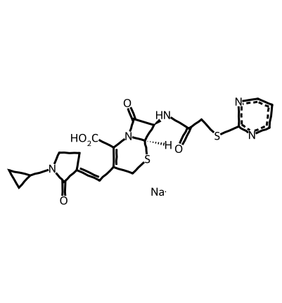 O=C(CSc1ncccn1)N[C@@H]1C(=O)N2C(C(=O)O)=C(C=C3CCN(C4CC4)C3=O)CS[C@H]12.[Na]